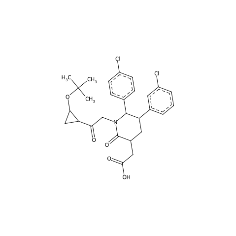 CC(C)(C)OC1CC1C(=O)CN1C(=O)C(CC(=O)O)CC(c2cccc(Cl)c2)C1c1ccc(Cl)cc1